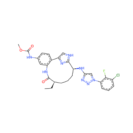 CC[C@@H]1CCC[C@H](Nc2cn(-c3cccc(Cl)c3F)nn2)c2nc(c[nH]2)-c2ccc(NC(=O)OC)cc2NC1=O